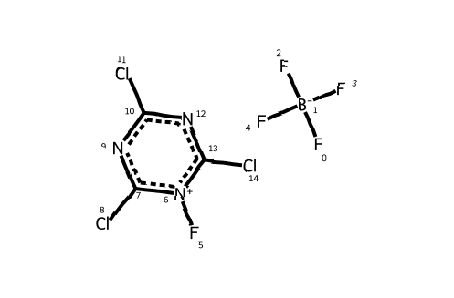 F[B-](F)(F)F.F[n+]1c(Cl)nc(Cl)nc1Cl